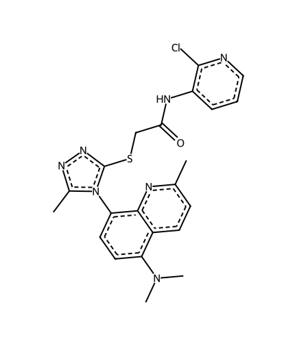 Cc1ccc2c(N(C)C)ccc(-n3c(C)nnc3SCC(=O)Nc3cccnc3Cl)c2n1